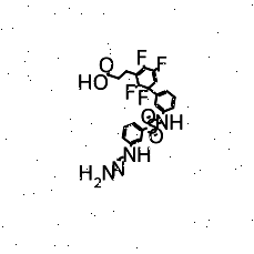 NN=CNc1cccc(S(=O)(=O)Nc2cccc(C3(F)C=C(F)C(F)=C(CCC(=O)O)C3F)c2)c1